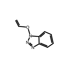 C=COn1nnc2ccccc21